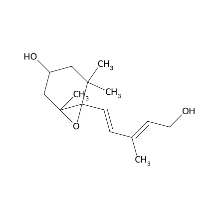 CC(C=CC12OC1(C)CC(O)CC2(C)C)=CCO